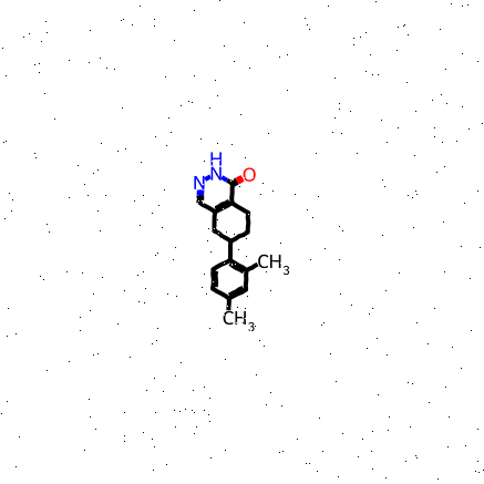 Cc1ccc(C2CCc3c(cn[nH]c3=O)C2)c(C)c1